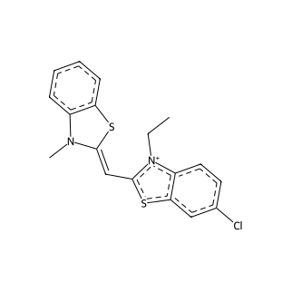 CC[n+]1c(C=C2Sc3ccccc3N2C)sc2cc(Cl)ccc21